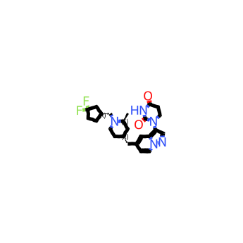 C[C@H]1C[C@H](Cc2ccn3ncc(N4CCC(=O)NC4=O)c3c2)CCN1C[C@@H]1CCC(F)(F)C1